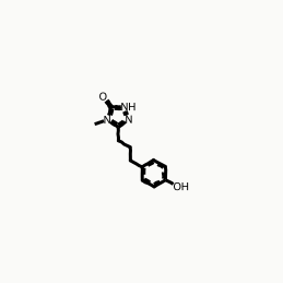 Cn1c(CCCc2ccc(O)cc2)n[nH]c1=O